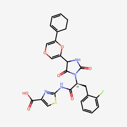 O=C(O)c1csc(NC(=O)[C@H](Cc2ccccc2F)N2C(=O)NC(C3=COC=C(C4=CC=CCC4)O3)C2=O)n1